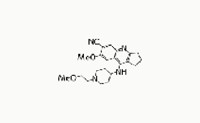 COCCN1CCC(Nc2c3c(nc4cc(C#N)c(OC)cc24)CCC3)CC1